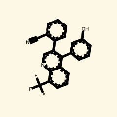 N#Cc1ccccc1-c1cnc2c(C(F)(F)F)cccc2c1-c1cccc(O)c1